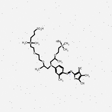 [C-]#[N+]c1c(/N=N/c2ccc(N(CC(C)OCCOCC[N+](C)(C)CCCS(=O)(=O)O)CC(C)OCC[N+](C)(C)CCCC)cc2C)sc(C#N)c1C